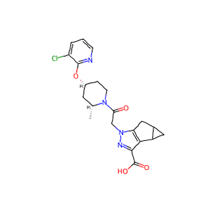 C[C@@H]1C[C@H](Oc2ncccc2Cl)CCN1C(=O)Cn1nc(C(=O)O)c2c1CC1CC21